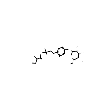 CC(C)(CCc1ccc(OC2O[C@H](CO)[C@@H](O)[C@H](O)[C@H]2O)cc1)OC(=O)C(O)CC(=O)O